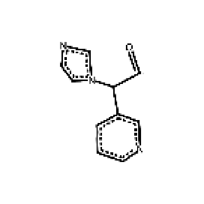 O=[C]C(c1cccnc1)n1ccnc1